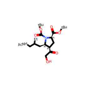 CCC(CNC(C)=O)C[C@@H]1[C@H](C(=O)CO)C[C@H](C(=O)OC(C)(C)C)N1C(=O)OC(C)(C)C